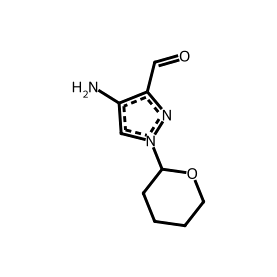 Nc1cn(C2CCCCO2)nc1C=O